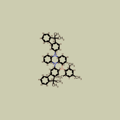 Cc1cc(C)c(B2c3cc4c(cc3N3c5ccccc5N(c5ccc6c(c5)-c5ccccc5C6(C)C)c5cccc2c53)-c2ccccc2C4(C)C)c(C)c1